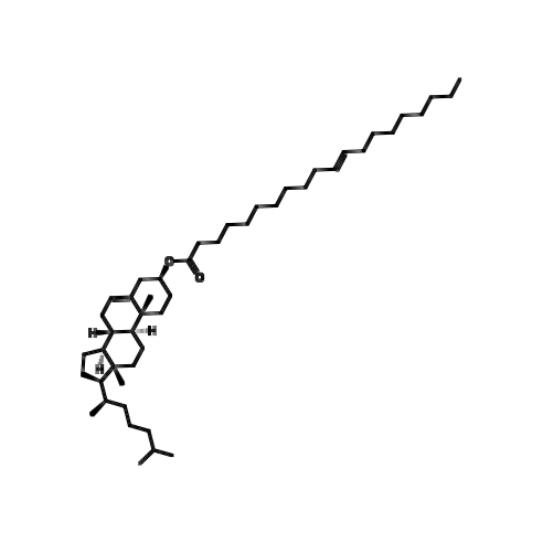 CCCCCCCCC=CCCCCCCCCCC(=O)O[C@H]1CC[C@@]2(C)C(=CC[C@H]3[C@@H]4CC[C@H]([C@H](C)CCCC(C)C)[C@@]4(C)CC[C@@H]32)C1